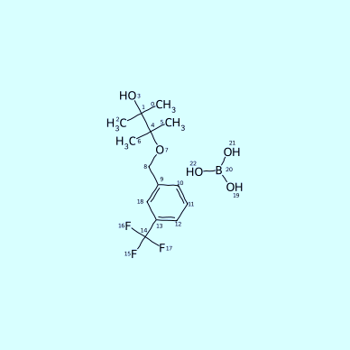 CC(C)(O)C(C)(C)OCc1cccc(C(F)(F)F)c1.OB(O)O